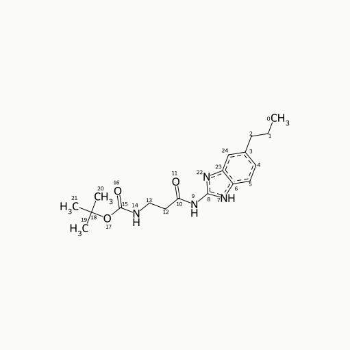 CCCc1ccc2[nH]c(NC(=O)CCNC(=O)OC(C)(C)C)nc2c1